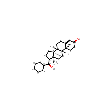 C[C@]12CCC(=O)C=C1CC[C@@H]1[C@H]2CC[C@]2(C)C(C(=O)C3CCCCC3)CC[C@@H]12